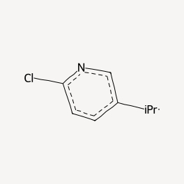 C[C](C)c1ccc(Cl)nc1